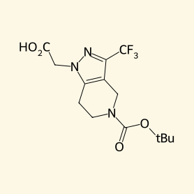 CC(C)(C)OC(=O)N1CCc2c(c(C(F)(F)F)nn2CC(=O)O)C1